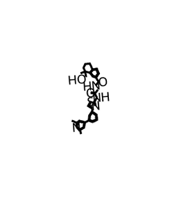 Cc1cc(-c2cccc(-c3csc(NC(=O)CNC(=O)c4ccc5c(c4)C(C)(CO)CCC5)n3)c2)cc(C)n1